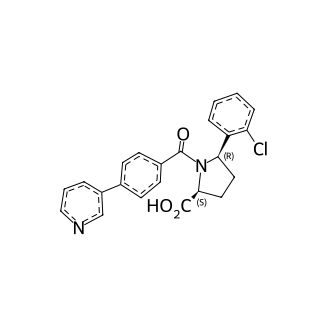 O=C(O)[C@@H]1CC[C@H](c2ccccc2Cl)N1C(=O)c1ccc(-c2cccnc2)cc1